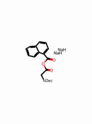 CCCCCCCCCCCC(=O)OC(=O)c1cccc2ccccc12.[NaH].[NaH]